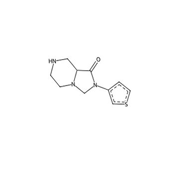 O=C1C2CNCCN2CN1c1ccsc1